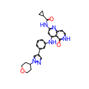 O=C(Nc1cc(Nc2cccc(-c3cnn(C4CCOCC4)c3)c2)c2c(=O)[nH]ccc2n1)C1CC1